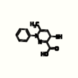 CC1=CC(S)C(C(=O)O)=NN1c1ccccc1